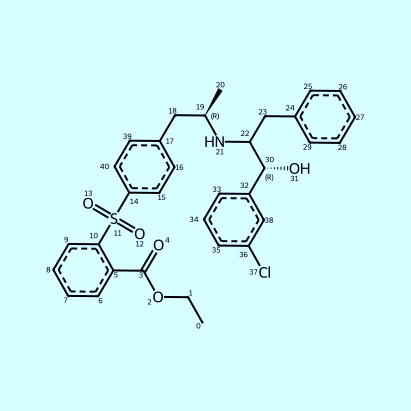 CCOC(=O)c1ccccc1S(=O)(=O)c1ccc(C[C@@H](C)NC(Cc2ccccc2)[C@H](O)c2cccc(Cl)c2)cc1